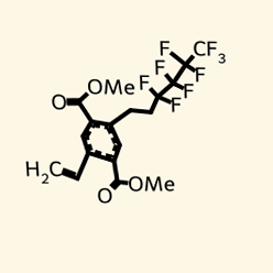 C=Cc1cc(C(=O)OC)c(CCC(F)(F)C(F)(F)C(F)(F)C(F)(F)F)cc1C(=O)OC